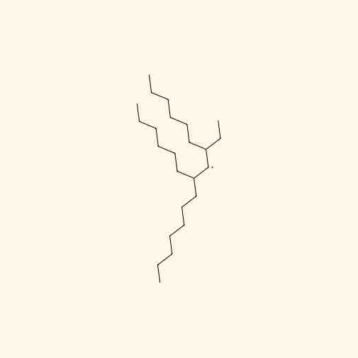 CCCCCCCC([CH]C(CC)CCCCCC)CCCCCC